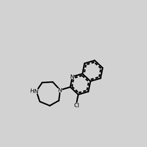 Clc1cc2ccccc2nc1N1CCCNCC1